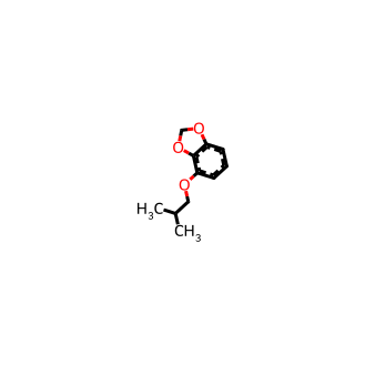 CC(C)COc1cccc2c1OCO2